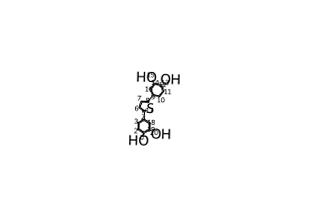 Oc1ccc(-c2ccc(-c3ccc(O)c(O)c3)s2)cc1O